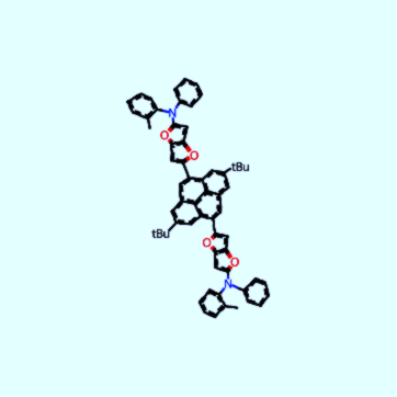 Cc1ccccc1N(c1ccccc1)c1cc2oc(-c3cc4cc(C(C)(C)C)cc5c(-c6cc7oc(N(c8ccccc8)c8ccccc8C)cc7o6)cc6cc(C(C)(C)C)cc3c6c45)cc2o1